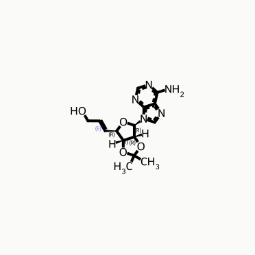 CC1(C)O[C@@H]2[C@H](O1)[C@@H](/C=C/CO)O[C@H]2n1cnc2c(N)ncnc21